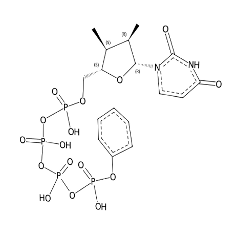 C[C@@H]1[C@H](C)[C@@H](COP(=O)(O)OP(=O)(O)OP(=O)(O)OP(=O)(O)Oc2ccccc2)O[C@H]1n1ccc(=O)[nH]c1=O